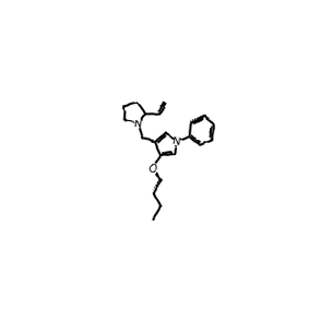 C=CC1CCCN1Cc1cn(-c2ccccc2)cc1OCCCC